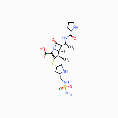 CC(NC(=O)[C@@H]1CCCN1)[C@H]1C(=O)N2C(C(=O)O)=C(S[C@@H]3CN[C@H](CNS(N)(=O)=O)C3)[C@H](C)[C@H]12